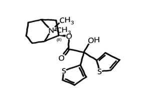 C[N+]1(C)C2CCCC1[C@H](OC(=O)C(O)(c1cccs1)c1cccs1)C2